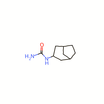 NC(=O)NC1CC2CCC(C2)C1